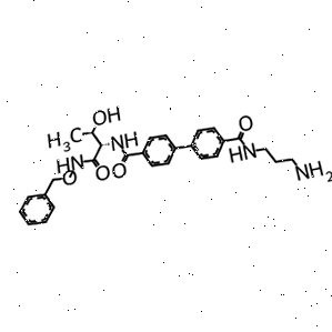 C[C@@H](O)[C@H](NC(=O)c1ccc(-c2ccc(C(=O)NCCCN)cc2)cc1)C(=O)NOCc1ccccc1